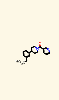 O=C(O)Cc1cccc(C2CCN(C(=O)c3cccnc3)CC2)c1